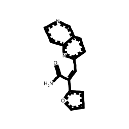 NC(=O)C(=Cc1ccc2cnccc2n1)c1ccco1